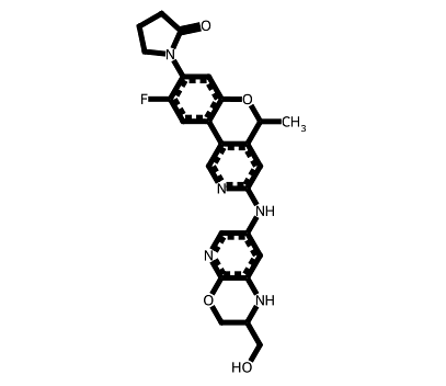 CC1Oc2cc(N3CCCC3=O)c(F)cc2-c2cnc(Nc3cnc4c(c3)NC(CO)CO4)cc21